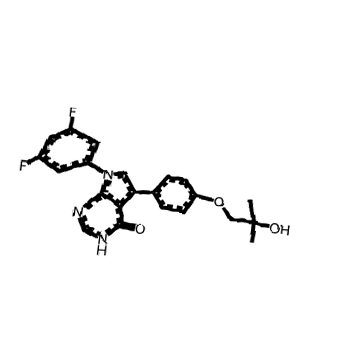 CC(C)(O)COc1ccc(-c2cn(-c3cc(F)cc(F)c3)c3nc[nH]c(=O)c23)cc1